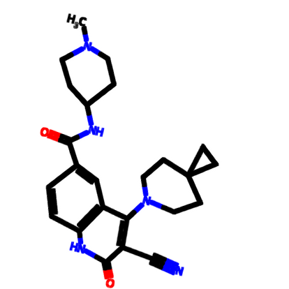 CN1CCC(NC(=O)c2ccc3[nH]c(=O)c(C#N)c(N4CCC5(CC4)CC5)c3c2)CC1